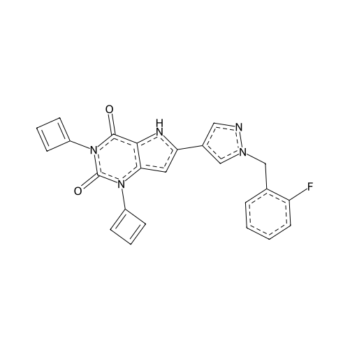 O=c1c2[nH]c(-c3cnn(Cc4ccccc4F)c3)cc2n(C2=CC=C2)c(=O)n1C1=CC=C1